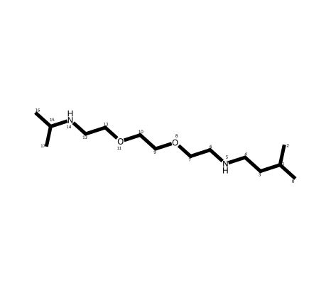 CC(C)CCNCCOCCOCCNC(C)C